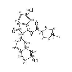 CN1CCN(C(=O)OC2c3cc(Cl)ccc3C(=O)N2c2ccc3ccc(Cl)nc3n2)CC1